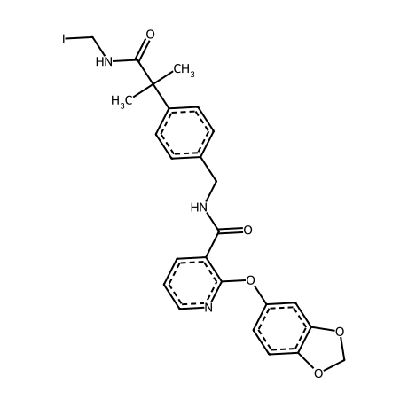 CC(C)(C(=O)NCI)c1ccc(CNC(=O)c2cccnc2Oc2ccc3c(c2)OCO3)cc1